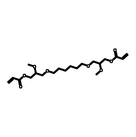 C=CC(=O)OCC(COCCCCCCOCC(COC(=O)C=C)OC)OC